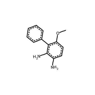 COc1ccc(N)c(N)c1-c1ccccc1